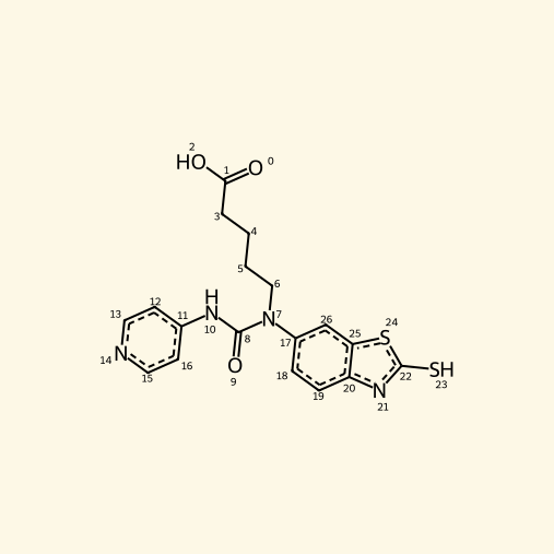 O=C(O)CCCCN(C(=O)Nc1ccncc1)c1ccc2nc(S)sc2c1